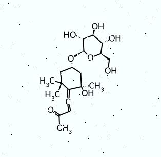 CC(=O)C=C=C1C(C)(C)C[C@H](O[C@@H]2O[C@H](CO)[C@@H](O)[C@H](O)[C@H]2O)C[C@@]1(C)O